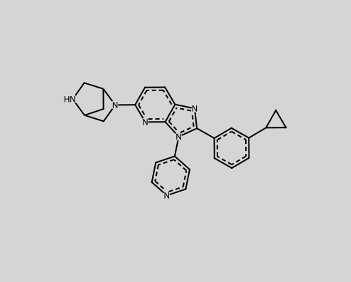 c1cc(-c2nc3ccc(N4CC5CC4CN5)nc3n2-c2ccncc2)cc(C2CC2)c1